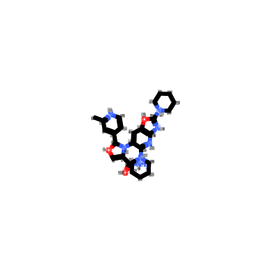 Cc1cc(C2OC=C(C(N)=O)N2c2cc3oc(N4CCCCC4)nc3nc2N2CCCCC2)ccn1